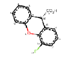 O=C(O)[C@H]1c2ccccc2Oc2c(F)cccc21